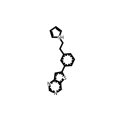 [c]1ncnc2cc(-c3cccc(CC[SH]4C=CC=C4)c3)sc12